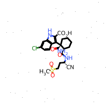 CS(=O)(=O)CC[C@@H](C#N)NC(=O)[C@@H]1CCCC[C@@]1(C(N)=O)c1c(C(=O)O)[nH]c2cc(Cl)ccc12